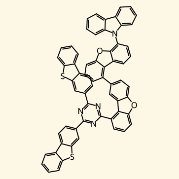 c1cc(-c2nc(-c3ccc4c(c3)sc3ccccc34)nc(-c3ccc4c(c3)sc3ccccc34)n2)c2c(c1)oc1ccc(-c3cccc4oc5c(-n6c7ccccc7c7ccccc76)cccc5c34)cc12